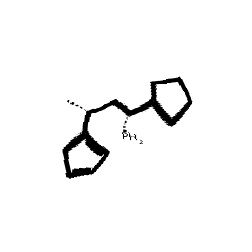 C[C@H](C[C@@H](P)C1CCCC1)C1=CC=CC1